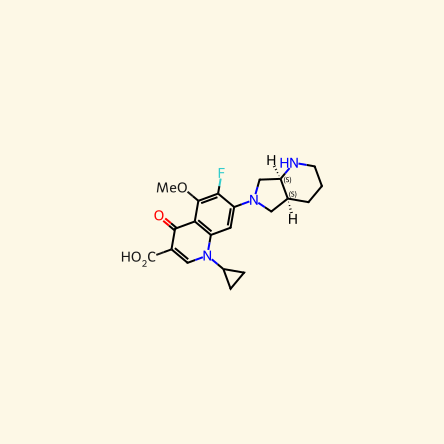 COc1c(F)c(N2C[C@@H]3CCCN[C@@H]3C2)cc2c1c(=O)c(C(=O)O)cn2C1CC1